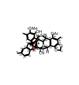 COc1c(C)cc2c(c1O)[C@@H]1C3[C@@H]4SC[C@]5(NCCc6c5[nH]c5ccc(C)cc65)C(=O)OC[C@@H](c5c6c(c(C)c(OC(C)=O)c54)OCO6)N3[C@@H](C#N)[C@H](C2)N1C